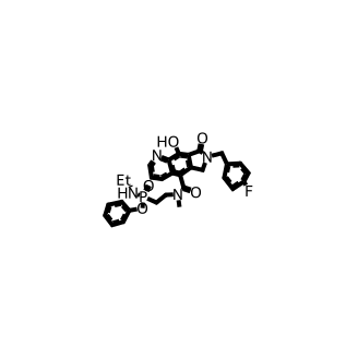 CCNP(=O)(CCN(C)C(=O)c1c2c(c(O)c3ncccc13)C(=O)N(Cc1ccc(F)cc1)C2)Oc1ccccc1